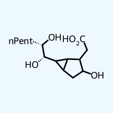 CCCCC[C@H](O)[C@@H](O)C1C2CC(O)C(CC(=O)O)C21